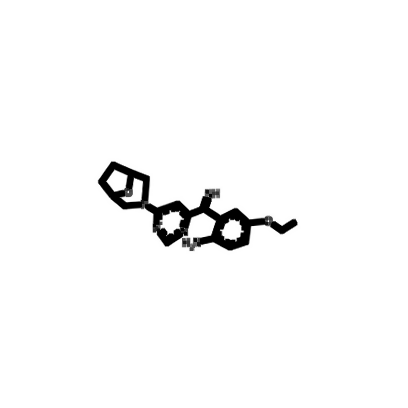 CCOc1ccc(N)c(C(=N)c2cc(N3CC4CCC(C3)O4)ncn2)c1